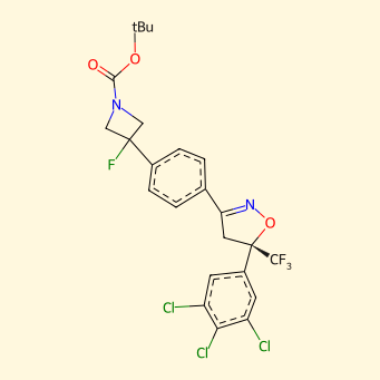 CC(C)(C)OC(=O)N1CC(F)(c2ccc(C3=NO[C@@](c4cc(Cl)c(Cl)c(Cl)c4)(C(F)(F)F)C3)cc2)C1